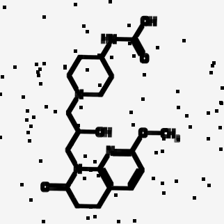 COc1ccc2c(n1)N(CC(O)CN1CCC(NC(=O)O)CC1)C(=O)CC2